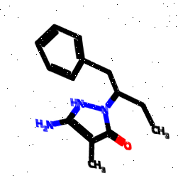 CCC(Cc1ccccc1)n1[nH]c(N)c(C)c1=O